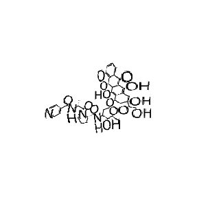 COc1cccc2c1C(=O)c1c(O)c3c(c(O)c1C2=O)C[C@@](O)(C(=O)CO)C[C@@H]3O[C@H]1C[C@H](NC(=O)[C@@H]2CCCN2C(=O)[C@@H](C)NC(=O)c2ccncc2)[C@@H](O)[C@H](C)O1